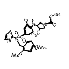 COc1ccc(CN(c2nccs2)S(=O)(=O)c2ccc(NC3CN(C(=O)OC(C)(C)C)CC3C)c(Cl)c2)c(OC)c1